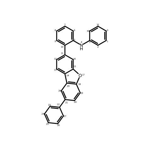 c1ccc(Nc2ccccc2-c2ccc3c(c2)oc2ccc(-c4ccccc4)cc23)cc1